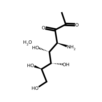 CC(=O)C(=O)[C@@H](N)[C@@H](O)[C@H](O)[C@H](O)CO.O